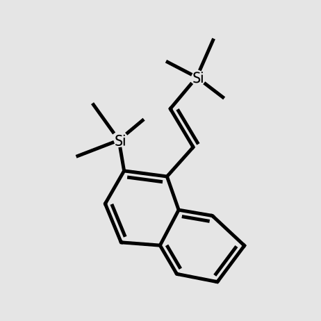 C[Si](C)(C)C=Cc1c([Si](C)(C)C)ccc2ccccc12